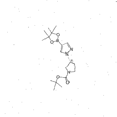 CC(C)(C)OC(=O)N1CC[C@@H](n2cc(B3OC(C)(C)C(C)(C)O3)cn2)C1